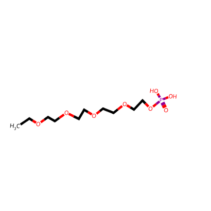 CCOCCOCCOCCOCCOP(=O)(O)O